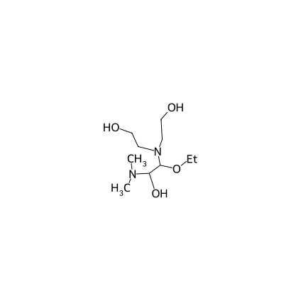 CCOC(C(O)N(C)C)N(CCO)CCO